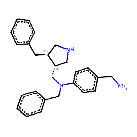 NCc1ccc(N(Cc2ccccc2)C[C@H]2CNC[C@@H]2Cc2ccccc2)cc1